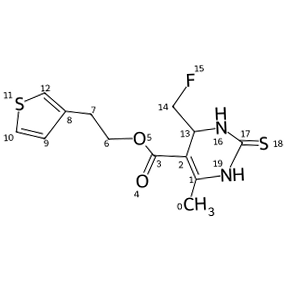 CC1=C(C(=O)OCCc2ccsc2)C(CF)NC(=S)N1